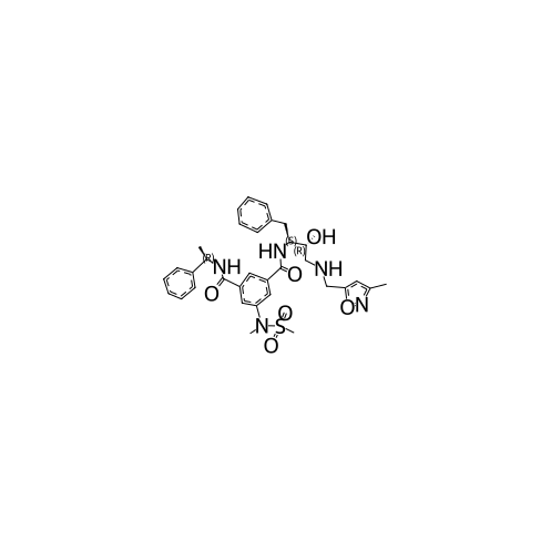 Cc1cc(CNC[C@@H](O)[C@H](Cc2ccccc2)NC(=O)c2cc(C(=O)N[C@H](C)c3ccccc3)cc(N(C)S(C)(=O)=O)c2)on1